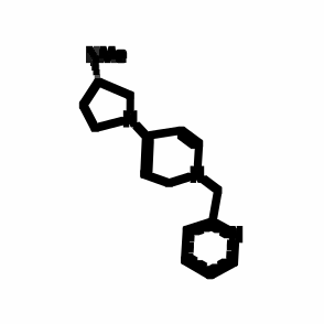 CN[C@H]1CCN(C2=CCN(Cc3ccccn3)C=C2)C1